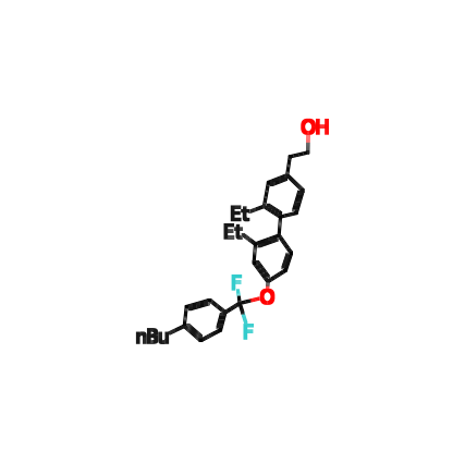 CCCCc1ccc(C(F)(F)Oc2ccc(-c3ccc(CCO)cc3CC)c(CC)c2)cc1